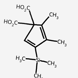 CC1=C(C)C(C(=O)O)(C(=O)O)C=C1[Si](C)(C)C